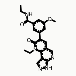 CCNC(=O)c1cc(OC)cc(-c2cc3cnc4[nH]ncc4c3n(CC)c2=O)c1